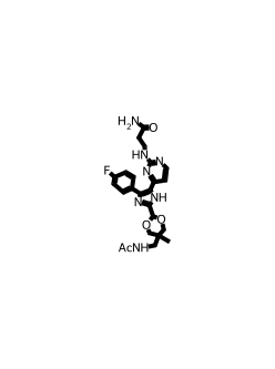 CC(=O)NCC1(C)COC(c2nc(-c3ccc(F)cc3)c(-c3ccnc(NCCC(N)=O)n3)[nH]2)OC1